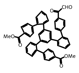 COC(=O)c1ccc(-c2ccccc2-c2cc(-c3ccccc3-c3ccc(C(=O)C=O)cc3)cc(-c3ccccc3-c3ccc(C(=O)OC)cc3)c2)cc1